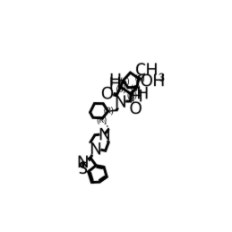 C[C@]1(O)C[C@@H]2C[C@H]1[C@H]1C(=O)N(C[C@@H]3CCCC[C@H]3CN3CCN(c4nsc5ccccc45)CC3)C(=O)[C@@H]21